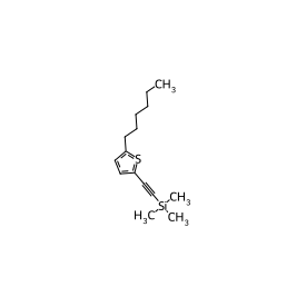 CCCCCCc1ccc(C#C[Si](C)(C)C)s1